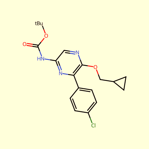 CC(C)(C)OC(=O)Nc1cnc(OCC2CC2)c(-c2ccc(Cl)cc2)n1